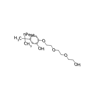 CCCCCC(C)(C)c1ccc(OCCOCCOCCO)c(O)c1